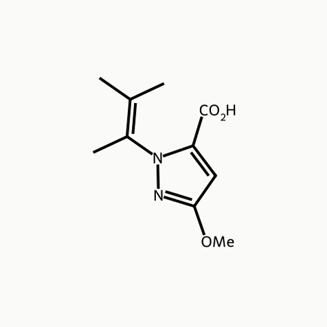 COc1cc(C(=O)O)n(C(C)=C(C)C)n1